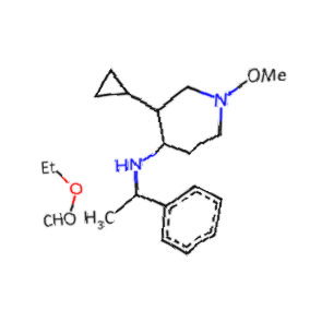 CCOC=O.CON1CCC(NC(C)c2ccccc2)C(C2CC2)C1